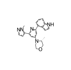 C[C@@H]1COCCN1c1cc(-c2cccc3[nH]ccc23)nc(-c2ccnn2C)c1